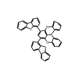 c1ccc2c(c1)Oc1c(-c3cccc4c3sc3ccccc34)cc(-c3cccc4c3sc3ccccc34)c3c1B2c1ccccc1O3